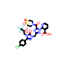 O=C(O)c1cccnc1-n1nc(Cn2nc(-c3ccc(Cl)cc3)n(C[C@H](O)C(F)(F)F)c2=O)nc1C(=O)N1CCS(=O)(=O)CC1